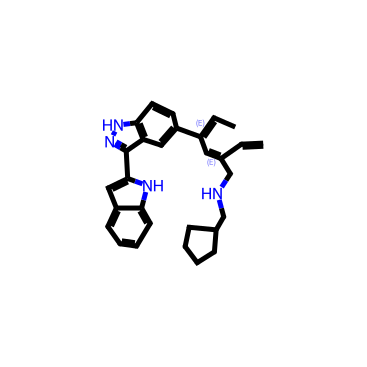 C=C/C(=C\C(=C/C)c1ccc2[nH]nc(-c3cc4ccccc4[nH]3)c2c1)CNCC1CCCC1